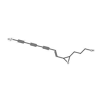 CC#CC#CC#CC=CC1OC1CCCO